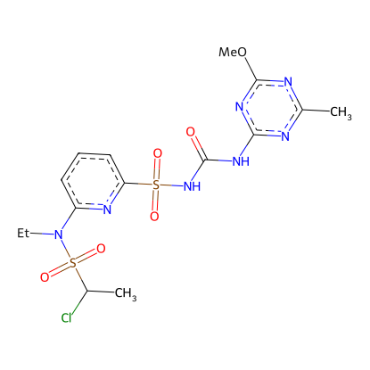 CCN(c1cccc(S(=O)(=O)NC(=O)Nc2nc(C)nc(OC)n2)n1)S(=O)(=O)C(C)Cl